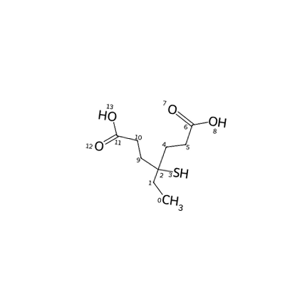 CCC(S)(CCC(=O)O)CCC(=O)O